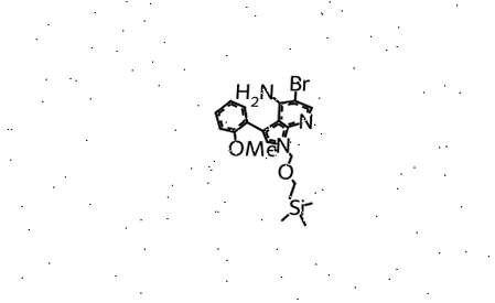 COc1ccccc1-c1cn(COCC[Si](C)(C)C)c2ncc(Br)c(N)c12